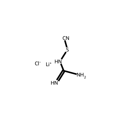 N#CSNC(=N)N.[Cl-].[Li+]